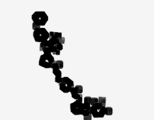 Nc1ncnc2c1c(-c1ccc(Oc3ccccc3)cc1)nn2C1CCCN(C(=O)/C=C/CN2CCN(C(=O)CSc3cccc4c3C(=O)N(C3CCC(=O)NC3=O)C4=O)CC2)C1